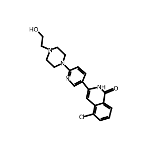 O=c1[nH]c(-c2ccc(N3CCN(CCO)CC3)nc2)cc2c(Cl)cccc12